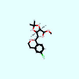 COC1O[C@H]([C@@H]2OCCc3cc(Cl)ccc32)[C@H]2OC(C)(C)O[C@@H]12